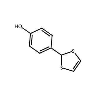 Oc1ccc(C2SC=CS2)cc1